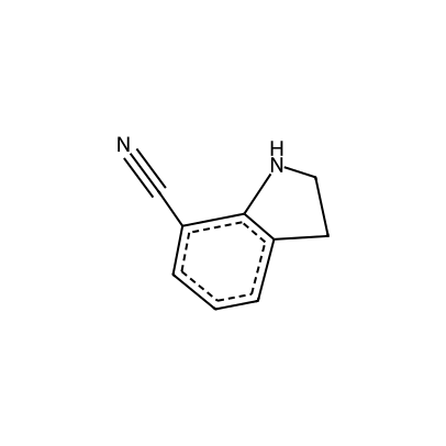 N#Cc1cccc2c1NCC2